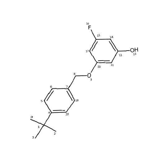 CC(C)(C)c1ccc(COc2cc(O)cc(F)c2)cc1